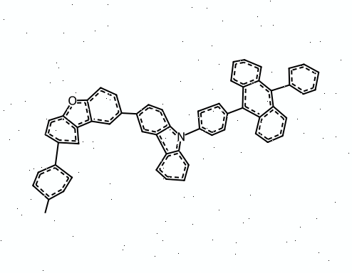 Cc1ccc(-c2ccc3oc4ccc(-c5ccc6c(c5)c5ccccc5n6-c5ccc(-c6c7ccccc7c(-c7ccccc7)c7ccccc67)cc5)cc4c3c2)cc1